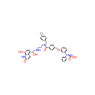 O=C(O)N[C@@H](c1ccccc1)c1cccc(OCc2ccc(C(=O)N(CCCNCC(O)c3ccc(O)c4[nH]c(=O)ccc34)Cc3ccc(Cl)cc3)cc2)c1